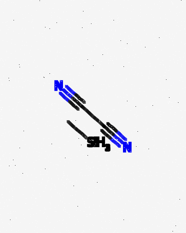 C[SiH3].N#CC#N